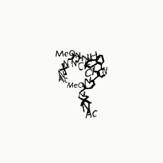 COc1nc(-c2ccnc(-c3cccc4c3CC[C@H]4Nc3nc(OC)c(CN4CC5(C4)CN(C(C)=O)C5)nc3C(F)(F)F)c2Cl)ccc1CN1CC2(C1)CN(C(C)=O)C2